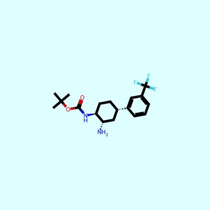 CC(C)(C)OC(=O)N[C@H]1CC[C@H](c2cccc(C(F)(F)F)c2)C[C@@H]1N